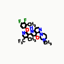 Cc1c(Oc2ncc(C(F)(F)F)c(C)c2-c2cc(=O)c3c(N4CCCN(C)CC4)nccc3[nH]2)ccc(F)c1F